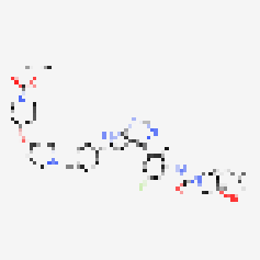 Cc1c(NC(=O)N2C[C@H](CC(C)C)[C@@H](O)C2)cc(F)cc1-c1ncnc2[nH]c(-c3ccc(CN4CCC(OC5CCN(C(=O)OC(C)(C)C)CC5)CC4)cc3)cc12